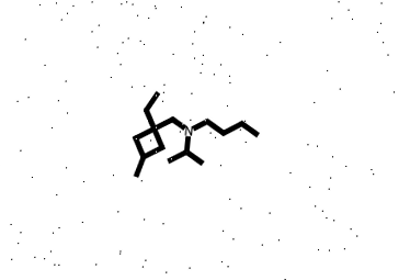 CCCCN(CC1(CC)CC(C)C1)C(C)C